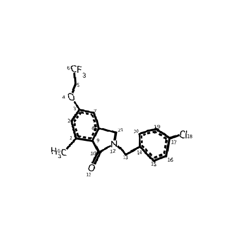 Cc1cc(OCC(F)(F)F)cc2c1C(=O)N(Cc1ccc(Cl)cc1)C2